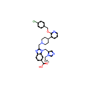 CCn1cncc1Cn1c(CN2CCC(c3cccnc3OCc3ccc(Cl)cc3)CC2)nc2ccc(C(=O)O)cc21